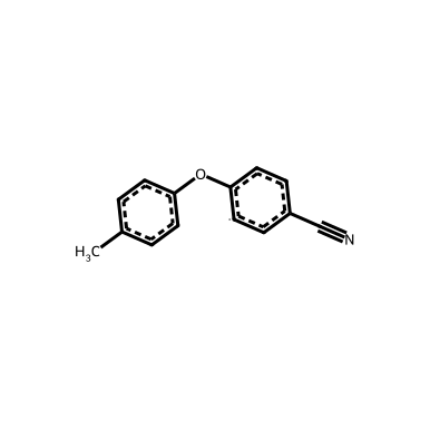 Cc1ccc(Oc2[c]cc(C#N)cc2)cc1